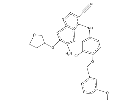 COc1cccc(COc2ccc(Nc3c(C#N)cnc4cc(OC5CCOC5)c(N)cc34)cc2Cl)c1